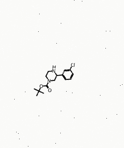 CC(C)(C)OC(=O)N1CCNC(c2cccc(Cl)c2)C1